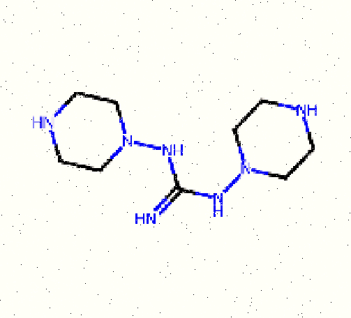 N=C(NN1CCNCC1)NN1CCNCC1